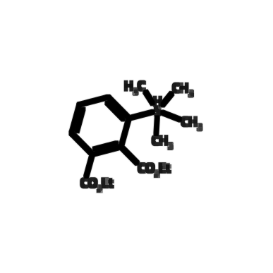 CCOC(=O)c1cccc([SH](C)(C)(C)C)c1C(=O)OCC